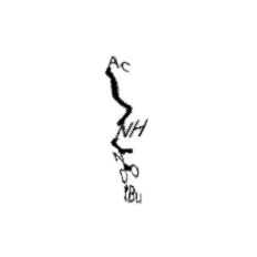 CC(=O)CCCCCNC/C(C)=N/C(=O)OC(C)(C)C